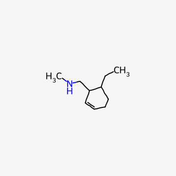 CCC1CCC=CC1CNC